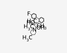 CC1CCN(C(O)C(C)(O)C(C)(C)c2ccccc2-c2ccc(F)cc2)CC1